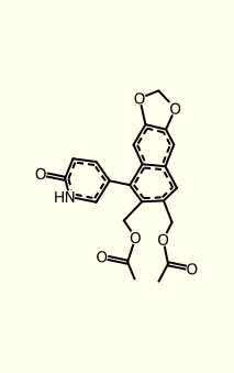 CC(=O)OCc1cc2cc3c(cc2c(-c2ccc(=O)[nH]c2)c1COC(C)=O)OCO3